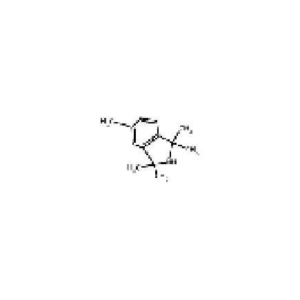 Cc1ccc2c(c1)C(C)(C)NC2(C)C